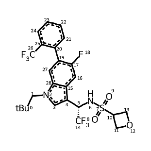 CC(C)(C)Cn1cc([C@H](NS(=O)(=O)C2COC2)C(F)(F)F)c2cc(F)c(-c3ccccc3C(F)(F)F)cc21